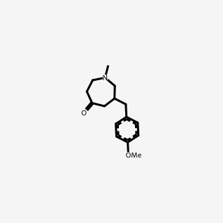 COc1ccc(CC2CC(=O)CCN(C)C2)cc1